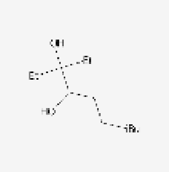 CCC(C)CCC(O)C(O)(CC)CC